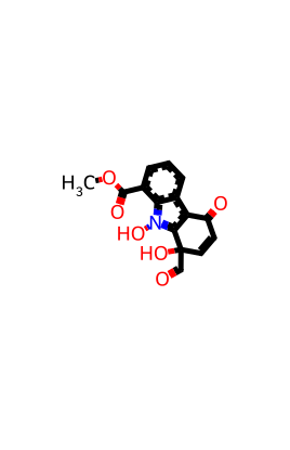 COC(=O)c1cccc2c3c(n(O)c12)C(O)(C=O)C=CC3=O